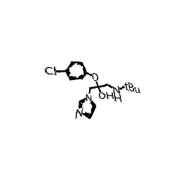 CC(C)(C)NCC(O)(Cn1ccnc1)Oc1ccc(Cl)cc1